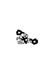 CC(C)CC(C(=O)OCc1ccccc1)(C(=O)OCc1ccccc1)C(C)(C(=O)O)C(C)(C)C